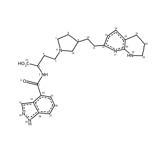 O=C(NC(CCN1CCC(CCc2ccc3c(n2)NCCC3)C1)C(=O)O)c1cccc2[nH]ncc12